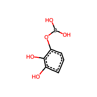 OB(O)Oc1cccc(O)c1O